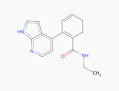 CCNC(=O)C1=C(c2ccnc3[nH]ccc23)C=CCC1